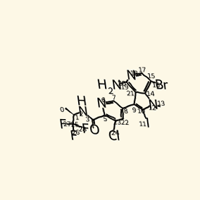 C[C@@H](NC(=O)c1ncc(-c2c(I)n(C)c3c(Br)cnc(N)c23)cc1Cl)C(F)(F)F